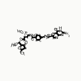 CCC1CC(OC(=O)CCC(NC(=O)c2ccc(NCc3cnc4nc(N)[nH]c(=O)c4n3)cc2)C(=O)O)C(CO)O1